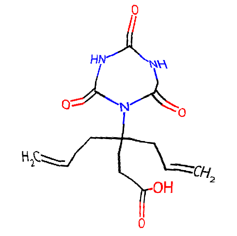 C=CCC(CC=C)(CC(=O)O)n1c(=O)[nH]c(=O)[nH]c1=O